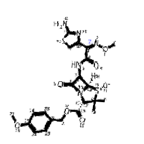 CO/N=C(\C(=O)NC1C(=O)N2[C@@H]1[S+]([O-])C(C)(C)[C@@H]2C(=O)OCc1ccc(OC)cc1)c1csc(N)n1